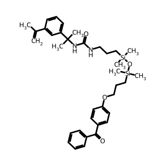 C=C(C)c1cccc(C(C)(C)NC(=O)NCCC[Si](C)(C)O[Si](C)(C)CCCOc2ccc(C(=O)c3ccccc3)cc2)c1